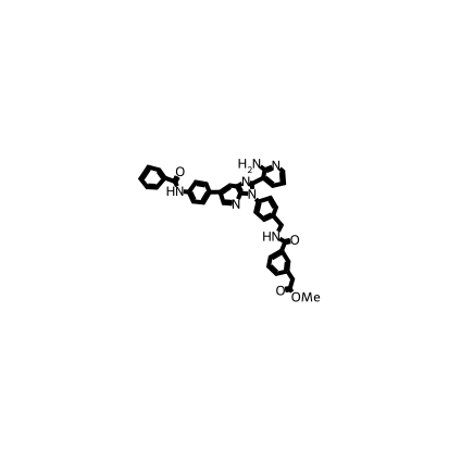 COC(=O)Cc1cccc(C(=O)NCc2ccc(-n3c(-c4cccnc4N)nc4cc(-c5ccc(NC(=O)c6ccccc6)cc5)cnc43)cc2)c1